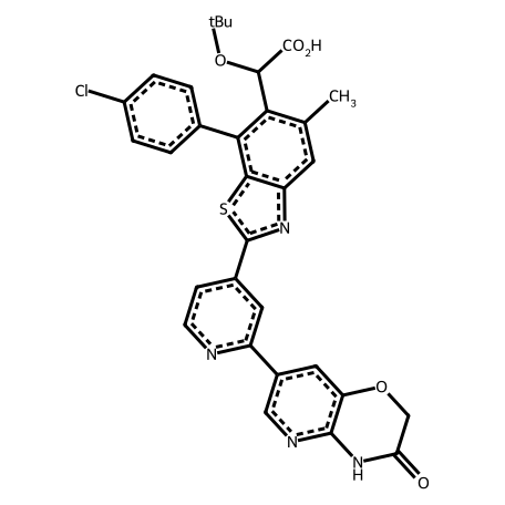 Cc1cc2nc(-c3ccnc(-c4cnc5c(c4)OCC(=O)N5)c3)sc2c(-c2ccc(Cl)cc2)c1C(OC(C)(C)C)C(=O)O